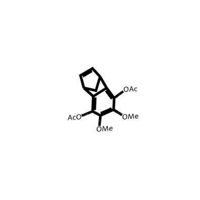 COc1c(OC)c(OC(C)=O)c2c(c1OC(C)=O)C1C=CC2C1